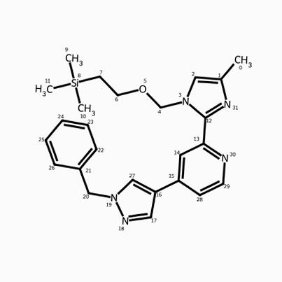 Cc1cn(COCC[Si](C)(C)C)c(-c2cc(-c3cnn(Cc4ccccc4)c3)ccn2)n1